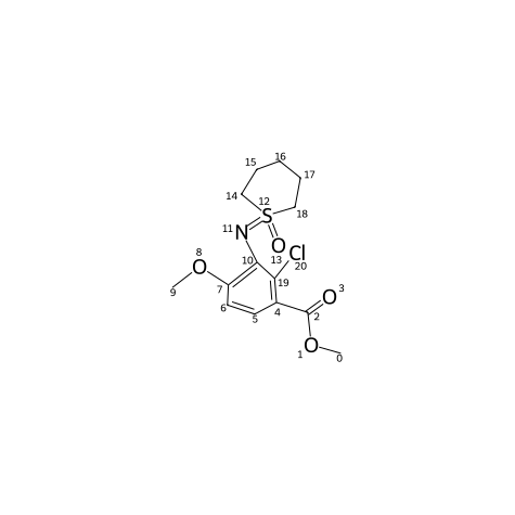 COC(=O)c1ccc(OC)c(N=S2(=O)CCCCC2)c1Cl